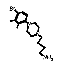 Cc1c(Br)ccc(N2CCN(CCCCN)CC2)c1C